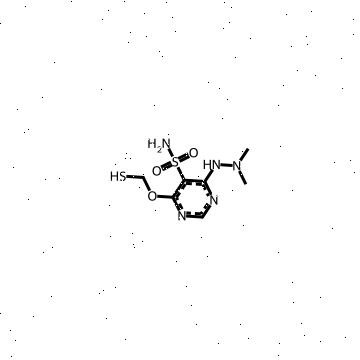 CN(C)Nc1ncnc(OCS)c1S(N)(=O)=O